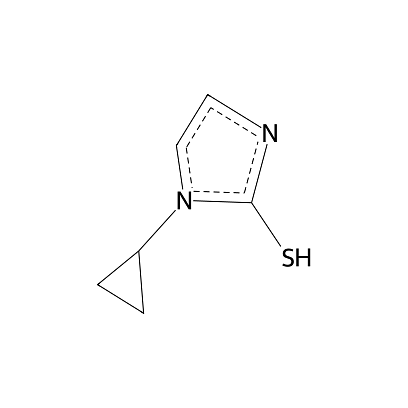 Sc1nccn1C1CC1